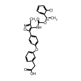 Cc1noc(-c2ccc(Oc3cccc(CC(=O)O)c3)cc2)c1NC(=O)O[C@H](C)c1ccccc1Cl